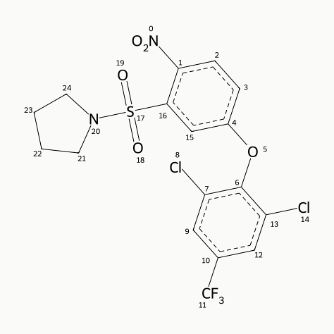 O=[N+]([O-])c1ccc(Oc2c(Cl)cc(C(F)(F)F)cc2Cl)cc1S(=O)(=O)N1CCCC1